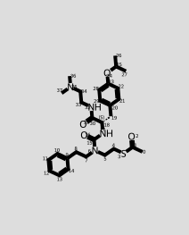 CC(=O)SCCN(CCc1ccccc1)C(=O)N[C@@H](Cc1ccc(OC(C)C)cc1)C(=O)NCCN(C)C